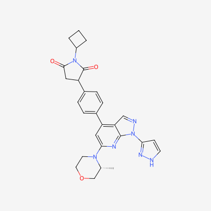 C[C@@H]1COCCN1c1cc(-c2ccc(C3CC(=O)N(C4CCC4)C3=O)cc2)c2cnn(-c3cc[nH]n3)c2n1